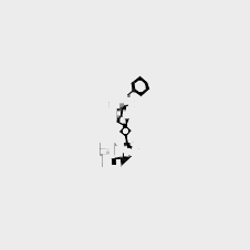 O=C(NC1(C(F)(F)F)CC1)C1CC2(C1)CN(C(=O)OCc1ccccc1)C2